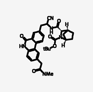 CNC(=O)Cc1ccc2[nH]c(=O)c3cc(CC(C#N)NC(=O)[C@@H]4[C@H]5CC[C@H](C5)N4C(=O)OC(C)(C)C)ccc3c2c1